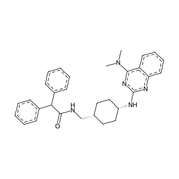 CN(C)c1nc(N[C@H]2CC[C@@H](CNC(=O)C(c3ccccc3)c3ccccc3)CC2)nc2ccccc12